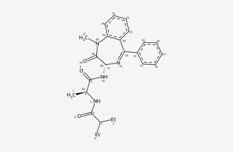 CCC(CC)C(=O)N[C@@H](C)C(=O)N[C@H]1N=C(c2ccccc2)c2ccccc2N(C)C1=O